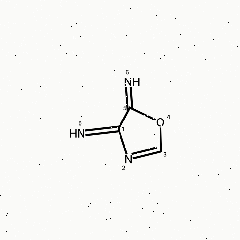 N=C1N=COC1=N